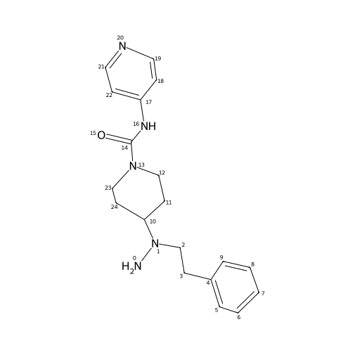 NN(CCc1ccccc1)C1CCN(C(=O)Nc2ccncc2)CC1